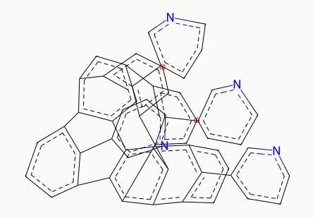 c1cncc(-c2c3cccc2-c2c4c5c6c(c2-c2cc(cc(c2-3)-c2cccc-6c2-c2cccnc2)-c2cccc-4c2-c2cccnc2)c2cccc5c2-c2cccnc2)c1